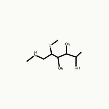 CNCC(OC)C(O)C(O)C(C)O